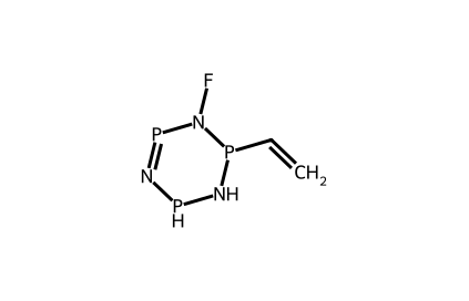 C=Cp1[nH][pH]npn1F